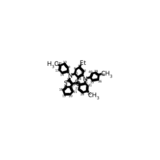 CCC1=CC2=C3C(C1)N(c1ccc(C)cc1)c1sc4ccccc4c1P3(=O)c1ccc(C)cc1N2c1ccc(C)cc1